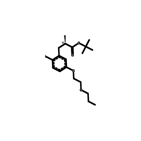 CCCOCCOc1ccc(I)c(C[C@H](C)C(=O)OC(C)(C)C)c1